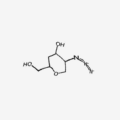 [N-]=[N+]=NC1COC(CO)CC1O